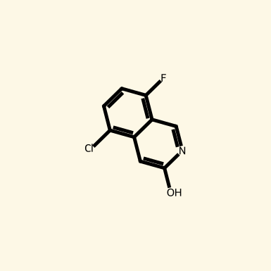 Oc1cc2c(Cl)ccc(F)c2cn1